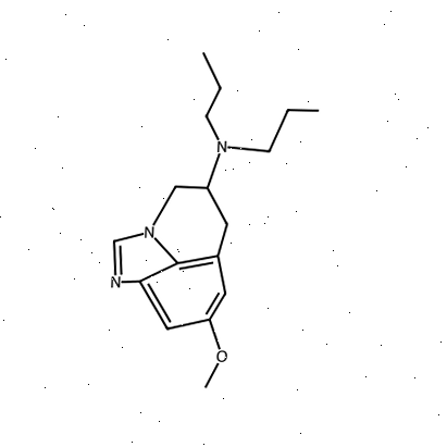 CCCN(CCC)C1Cc2cc(OC)cc3ncn(c23)C1